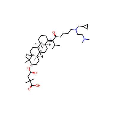 CC(C)/C(C(=O)CCCCN(CCN(C)C)CC1CC1)=C1/CCC[C@]2(C)[C@@H]1CC[C@@H]1[C@@]3(C)CC[C@H](OC(=O)CC(C)(C)C(=O)O)C(C)(C)[C@@H]3CC[C@]12C